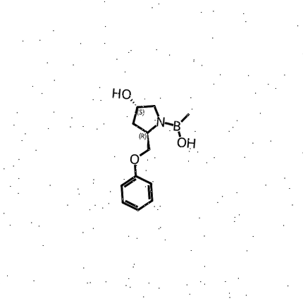 CB(O)N1C[C@@H](O)C[C@@H]1COc1ccccc1